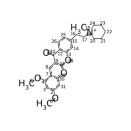 COc1cc(OC)c2cc(C(=O)c3ccc(CC[N+]4(C)CCCCC4)cc3)c(=O)oc2c1